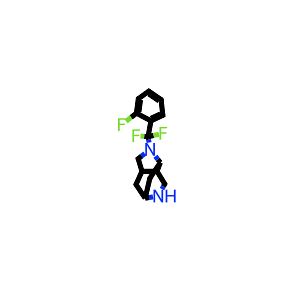 Fc1ccccc1C(F)(F)N1CC2CC3CC1C2CN3